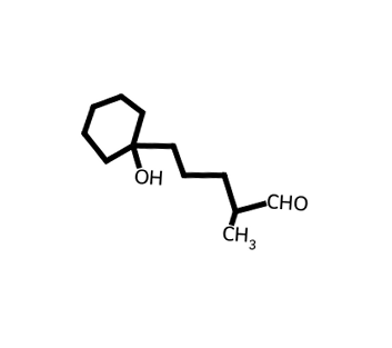 CC(C=O)CCCC1(O)CCCCC1